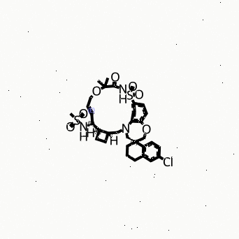 CC1(C)OC/C=C/[C@H](NS(C)(=O)=O)[C@@H]2CC[C@H]2CN2C[C@@]3(CCCc4cc(Cl)ccc43)COc3ccc(cc32)S(=O)(=O)NC1=O